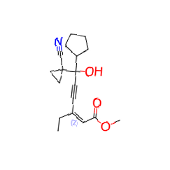 CC/C(C#CC(O)(C1CCCC1)C1(C#N)CC1)=C/C(=O)OC